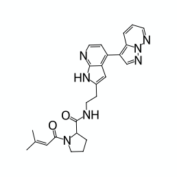 CC(C)=CC(=O)N1CCCC1C(=O)NCCc1cc2c(-c3cnn4ncccc34)ccnc2[nH]1